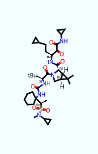 C[C@H](C1(NC(=O)N[C@H](C(=O)N2C[C@H]3[C@@H]([C@H]2C(=O)N[C@@H](CCC2CC2)C(=O)C(=O)NC2CC2)C3(C)C)C(C)(C)C)CCCCC1)S(=O)(=O)N(C)C1CC1